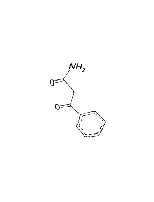 NC(=O)CC(=O)c1ccccc1